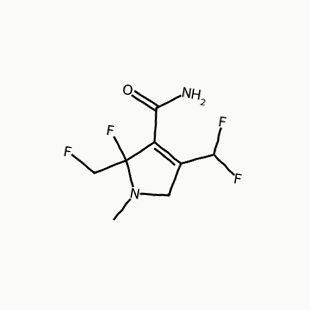 CN1CC(C(F)F)=C(C(N)=O)C1(F)CF